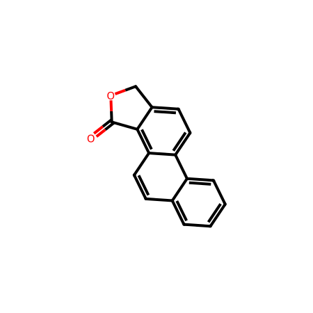 O=C1OCc2ccc3c(ccc4ccccc43)c21